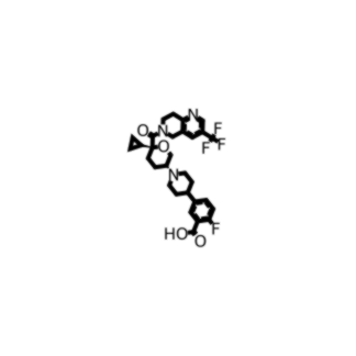 O=C(O)c1cc(C2CCN([C@@H]3CC[C@@](C(=O)N4CCc5ncc(C(F)(F)F)cc5C4)(C4CC4)OC3)CC2)ccc1F